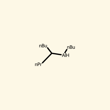 CCC[CH2][AlH][CH](CCC)CCCC